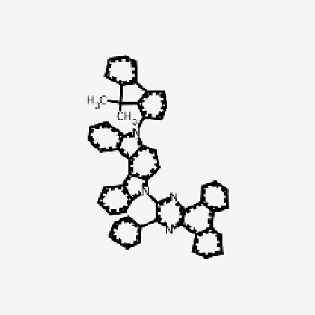 CC1(C)c2ccccc2-c2cccc(-n3c4ccccc4c4c5c6ccccc6n(-c6nc7c8ccccc8c8ccccc8c7nc6-c6ccccc6)c5ccc43)c21